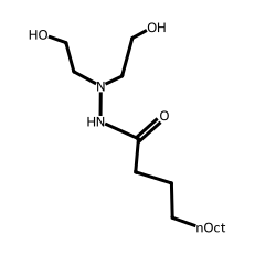 CCCCCCCCCCCC(=O)NN(CCO)CCO